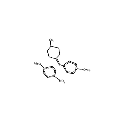 COc1ccc(N=C2CCC(C)CC2)cc1.COc1ccc([N+](=O)[O-])cc1